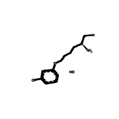 Cl.N[C@@H](CS)CCCCOc1cccc(Cl)c1